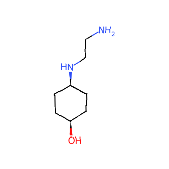 NCCN[C@H]1CC[C@@H](O)CC1